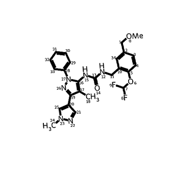 COCc1ccc(OC(F)F)c(CNC(=O)Nc2c(C)c(-c3cnn(C)c3)nn2-c2ccccc2)c1